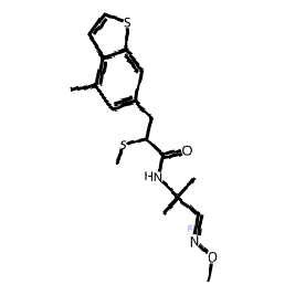 CO/N=C/C(C)(C)NC(=O)C(Cc1cc(C)c2ccsc2c1)SC